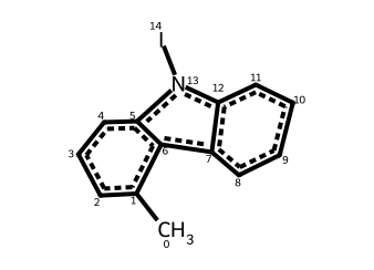 Cc1cccc2c1c1ccccc1n2I